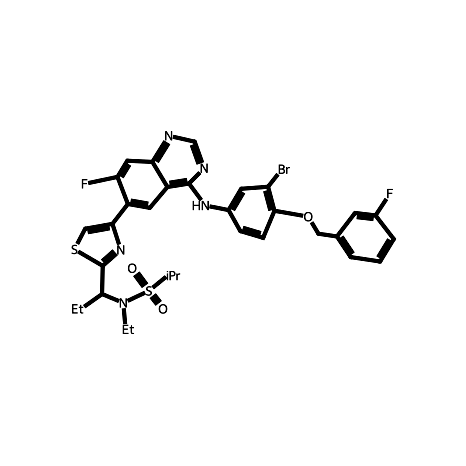 CCC(c1nc(-c2cc3c(Nc4ccc(OCc5cccc(F)c5)c(Br)c4)ncnc3cc2F)cs1)N(CC)S(=O)(=O)C(C)C